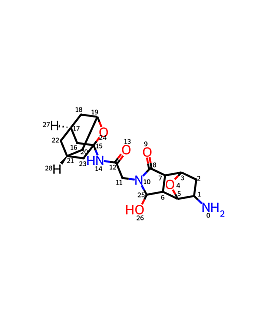 NC1CC2OC1C1C2C(=O)N(CC(=O)NC23C[C@@H]4CC(C[C@@H](C4)C2)O3)C1O